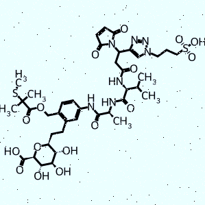 CSC(C)(C)C(=O)OCc1ccc(NC(=O)[C@H](C)NC(=O)[C@@H](NC(=O)CC(c2cn(CCCS(=O)(=O)O)nn2)N2C(=O)C=CC2=O)C(C)C)cc1CC[C@@H]1O[C@H](C(=O)O)[C@@H](O)[C@H](O)[C@H]1O